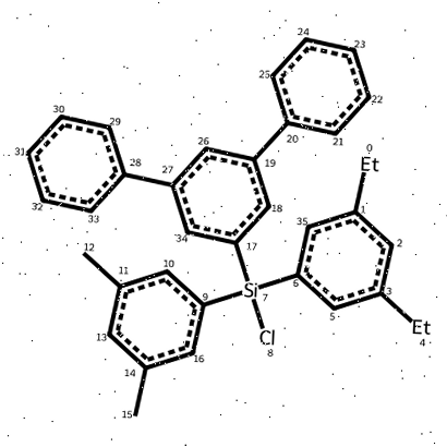 CCc1cc(CC)cc([Si](Cl)(c2cc(C)cc(C)c2)c2cc(-c3ccccc3)cc(-c3ccccc3)c2)c1